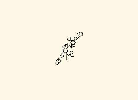 C=CC(=O)Nc1cc2c(Nc3ccc(OCc4ccccn4)c(Cl)c3)ncnc2cc1N1CC(N2CCOCC2)C1